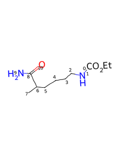 CCOC(=O)NCCCCC(C)C(N)=O